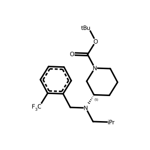 CC(C)CN(Cc1ccccc1C(F)(F)F)[C@H]1CCCN(C(=O)OC(C)(C)C)C1